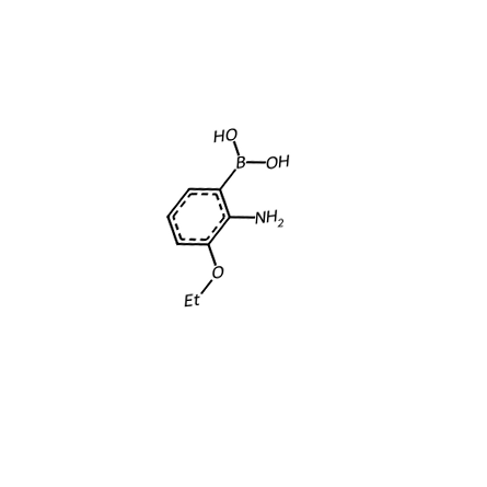 CCOc1cccc(B(O)O)c1N